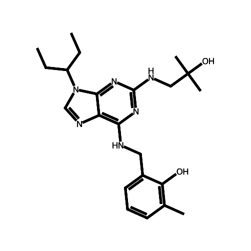 CCC(CC)n1cnc2c(NCc3cccc(C)c3O)nc(NCC(C)(C)O)nc21